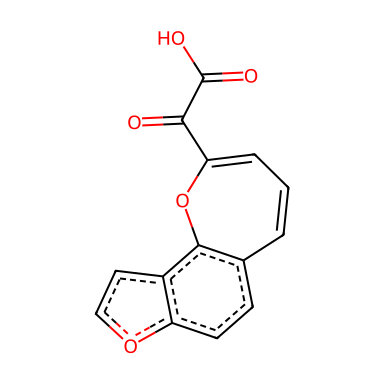 O=C(O)C(=O)C1=CC=Cc2ccc3occc3c2O1